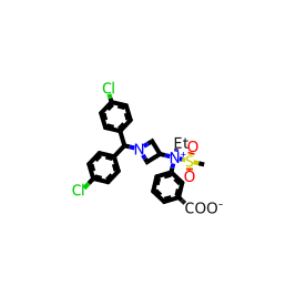 CC[N+](c1cccc(C(=O)[O-])c1)(C1CN(C(c2ccc(Cl)cc2)c2ccc(Cl)cc2)C1)S(C)(=O)=O